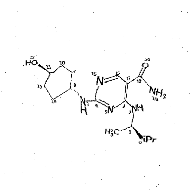 CC(C)[C@@H](C)Nc1nc(N[C@H]2CC[C@H](O)CC2)ncc1C(N)=O